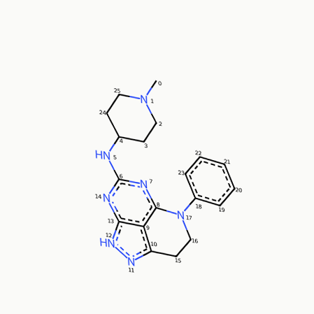 CN1CCC(Nc2nc3c4c(n[nH]c4n2)CCN3c2ccccc2)CC1